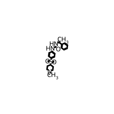 C[C@H](NC(=O)Nc1ccc(S(=O)(=O)C2CCN(C)CC2)cc1)c1ccccc1